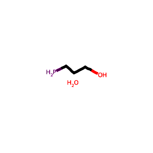 O.OCCCP